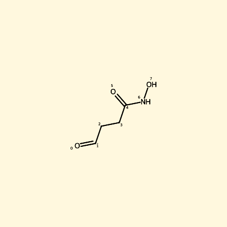 O=[C]CCC(=O)NO